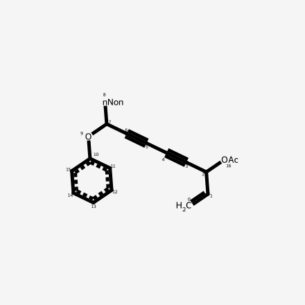 C=CC(C#CC#CC(CCCCCCCCC)Oc1ccccc1)OC(C)=O